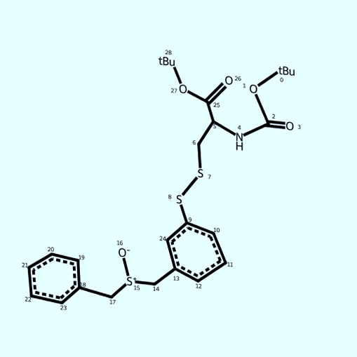 CC(C)(C)OC(=O)NC(CSSc1cccc(C[S+]([O-])Cc2ccccc2)c1)C(=O)OC(C)(C)C